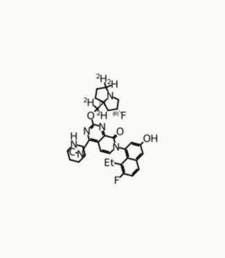 [2H]C1([2H])CC[C@@]2(C([2H])([2H])Oc3nc(N4CC5CCC4CN5)c4ccn(-c5cc(O)cc6ccc(F)c(CC)c56)c(=O)c4n3)C[C@@H](F)CN12